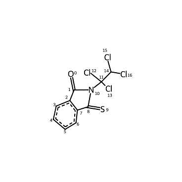 O=C1c2ccccc2C(=S)N1C(Cl)(Cl)C(Cl)Cl